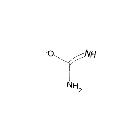 N=C(N)[O]